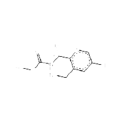 CC(C)[C@@H](NC(=O)OC(C)(C)C)c1ncc(Cl)cc1CC#N